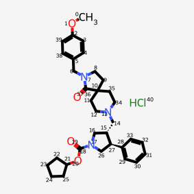 COc1ccc(CN2CCC3(CCN(C[C@H]4CN(C(=O)OC5CCCC5)C[C@@H]4c4ccccc4)CC3)C2=O)cc1.Cl